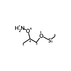 CSOCC(C)ON